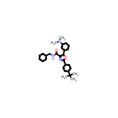 CN(C)c1cccc(-c2oc(-c3ccc(C(C)(C)C)cc3)nc2C(=O)NCc2ccccc2)c1